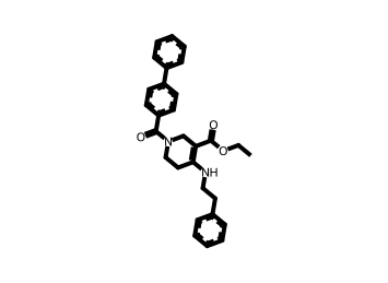 CCOC(=O)C1=C(NCCc2ccccc2)CCN(C(=O)c2ccc(-c3ccccc3)cc2)C1